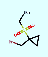 CC(C)(C)CS(=O)(=O)C1(CBr)CC1